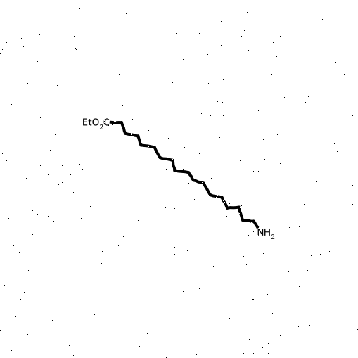 CCOC(=O)CCCCCCCCCCCCCCCCCN